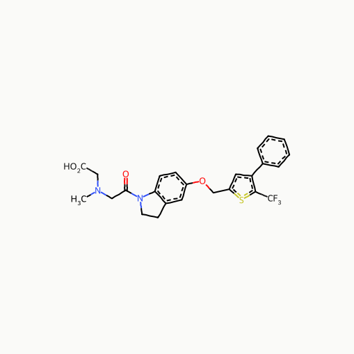 CN(CC(=O)O)CC(=O)N1CCc2cc(OCc3cc(-c4ccccc4)c(C(F)(F)F)s3)ccc21